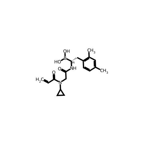 C=CC(=O)N(CC(=O)N[C@@H](Cc1ccc(C)cc1C)B(O)O)C1CC1